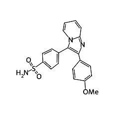 COc1ccc(-c2nc3ccccn3c2-c2ccc(S(N)(=O)=O)cc2)cc1